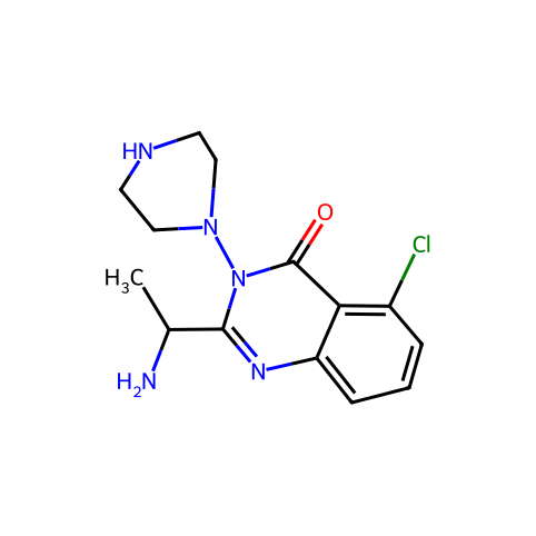 CC(N)c1nc2cccc(Cl)c2c(=O)n1N1CCNCC1